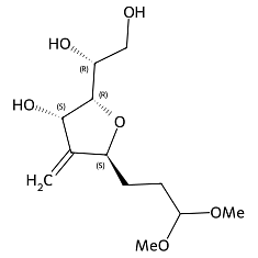 C=C1[C@H](CCC(OC)OC)O[C@@H]([C@H](O)CO)[C@H]1O